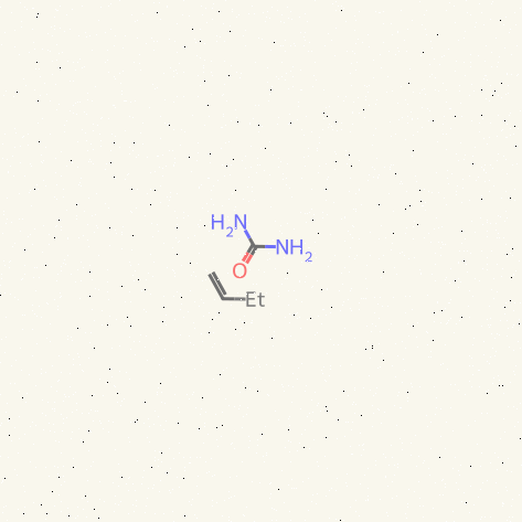 C=CCC.NC(N)=O